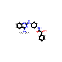 CN(C)c1nc(N[C@H]2CC[C@@H](NC(=O)[C@@H](O)c3ccccc3)CC2)nc2ccccc12